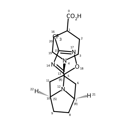 O=C(O)C1CCN([C@H]2C[C@H]3CC[C@@H](C2)N3c2nc(C(F)(F)F)no2)CC1